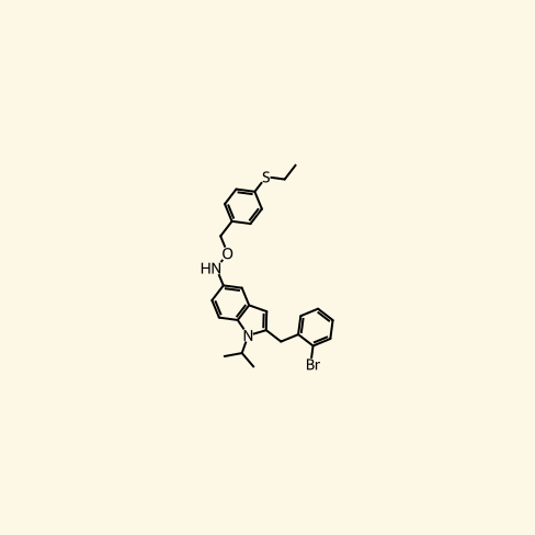 CCSc1ccc(CONc2ccc3c(c2)cc(Cc2ccccc2Br)n3C(C)C)cc1